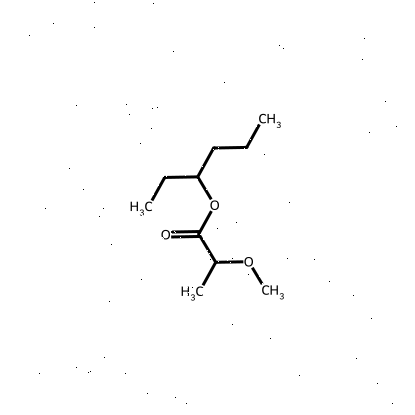 CCCC(CC)OC(=O)C(C)OC